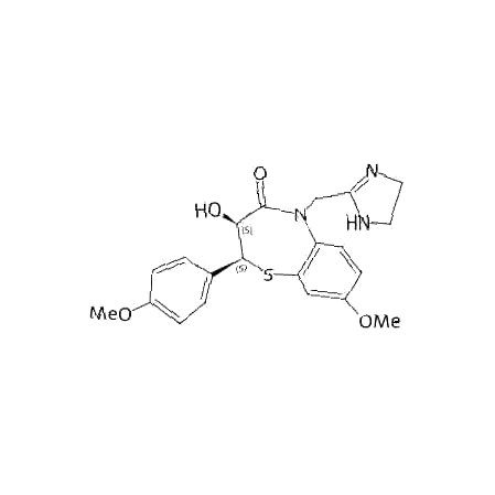 COc1ccc([C@@H]2Sc3cc(OC)ccc3N(CC3=NCCN3)C(=O)[C@@H]2O)cc1